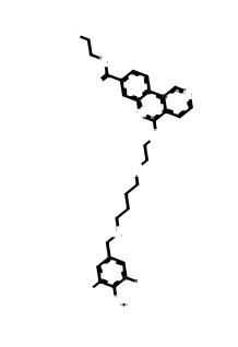 O=C(O)CCNC(=O)c1ccc2c(c1)nc(OCCOCCCCNCc1cc(F)c(OC(F)(F)F)c(F)c1)c1ccncc12